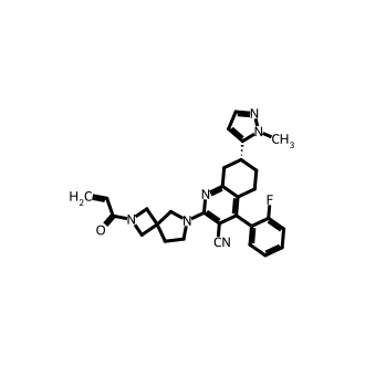 C=CC(=O)N1CC2(CCN(c3nc4c(c(-c5ccccc5F)c3C#N)CC[C@@H](c3ccnn3C)C4)C2)C1